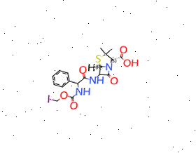 CC1(C)S[C@@H]2C(NC(=O)C(NC(=O)OCI)c3ccccc3)C(=O)N2[C@H]1C(=O)O